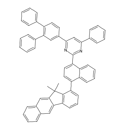 CC1(C)c2cc3ccccc3cc2-c2cccc(-c3ccc(-c4nc(-c5ccccc5)cc(-c5ccc(-c6ccccc6)c(-c6ccccc6)c5)n4)c4ccccc34)c21